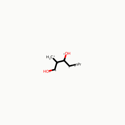 CCCC[C](O)C(C)CO